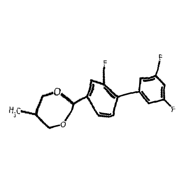 CC1COC(c2ccc(-c3cc(F)cc(F)c3)c(F)c2)OC1